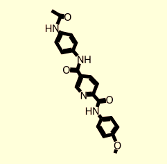 COc1ccc(NC(=O)c2ccc(C(=O)Nc3ccc(NC(C)=O)cc3)cn2)cc1